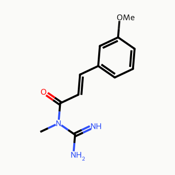 COc1cccc(/C=C/C(=O)N(C)C(=N)N)c1